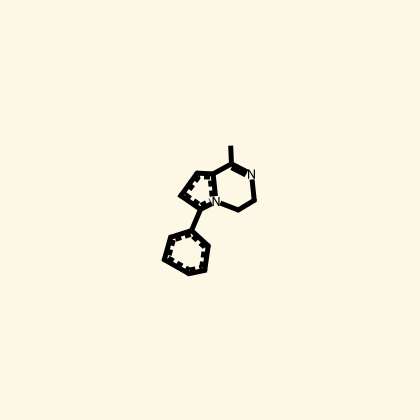 CC1=NCCn2c1ccc2-c1ccccc1